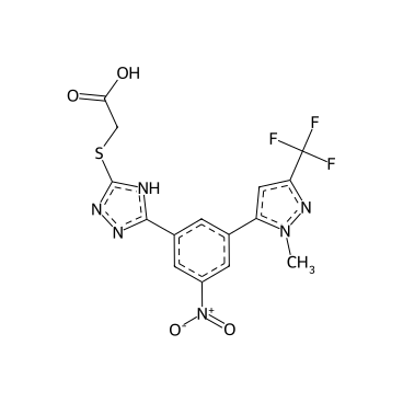 Cn1nc(C(F)(F)F)cc1-c1cc(-c2nnc(SCC(=O)O)[nH]2)cc([N+](=O)[O-])c1